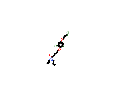 C=CCN(CC=C)C(=O)CCCCOc1c(Cl)cc(OCC=C(Cl)Cl)cc1Cl